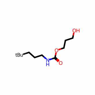 CC(C)(C)CCCNC(=O)OCCCO